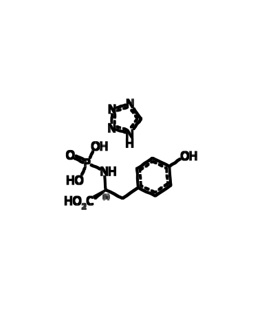 O=C(O)[C@H](Cc1ccc(O)cc1)NP(=O)(O)O.c1nnn[nH]1